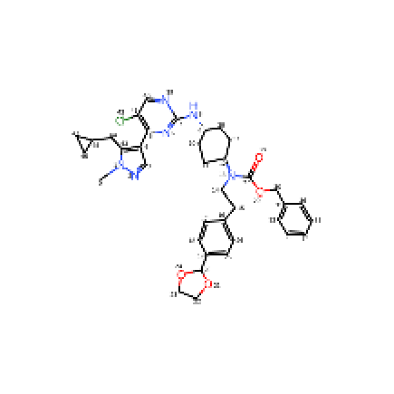 Cn1ncc(-c2nc(N[C@H]3CC[C@H](N(CCc4ccc(C5OCCO5)cc4)C(=O)OCc4ccccc4)CC3)ncc2Cl)c1CC1CC1